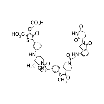 CN(C(=O)C1CCN(C(=O)CNc2cccc3c2CN(C2CCC(=O)NC2=O)C3=O)CC1)c1cccc(CS(=O)(=O)N2CC[C@@H](Nc3cccc(-c4sc(C(=O)O)c(OCC(=O)O)c4Cl)c3)CC2(C)C)c1